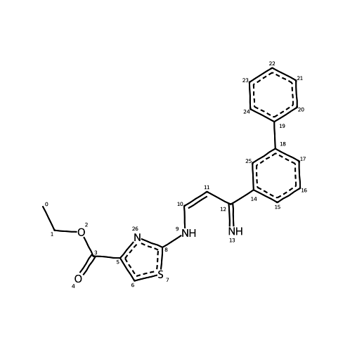 CCOC(=O)c1csc(N/C=C\C(=N)c2cccc(-c3ccccc3)c2)n1